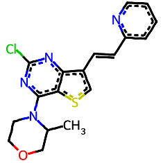 CC1COCCN1c1nc(Cl)nc2c(C=Cc3ccccn3)csc12